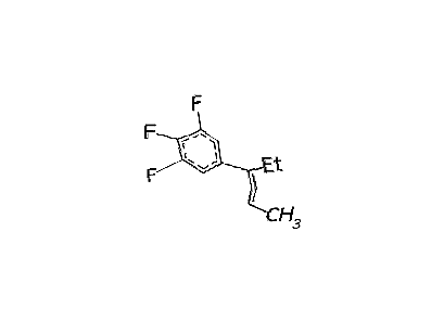 C/C=C(\CC)c1cc(F)c(F)c(F)c1